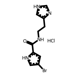 Cl.O=C(NCCc1c[nH]cn1)c1cc(Br)c[nH]1